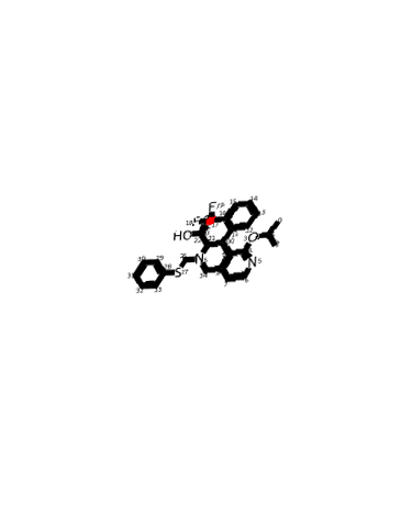 CC(C)Oc1nccc2c1C(c1ccccc1C(F)(F)F)C(C(=O)O)N(CSc1ccccc1)C2